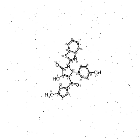 Cc1ccc(C(=O)C2=C(O)C(=O)N(c3nc4ccccc4s3)C2c2ccc(O)cc2)o1